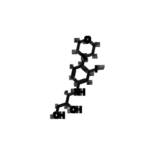 OCC(O)CNc1ccc(N2CCOCC2)c(F)c1